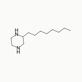 CCCCCCCCC1CNCCN1